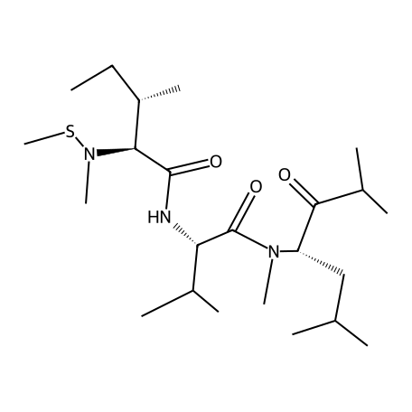 CC[C@H](C)[C@@H](C(=O)N[C@H](C(=O)N(C)[C@@H](CC(C)C)C(=O)C(C)C)C(C)C)N(C)SC